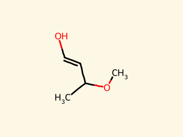 COC(C)C=CO